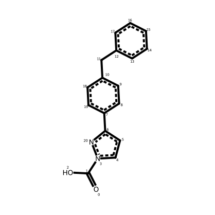 O=C(O)n1ccc(-c2ccc(Cc3ccccc3)cc2)n1